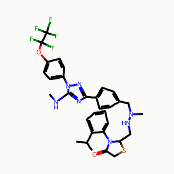 CNc1nc(-c2ccc(CN(C)NCC3SCC(=O)N3c3ccccc3C(C)C)cc2)nn1-c1ccc(OC(F)(F)C(F)(F)F)cc1